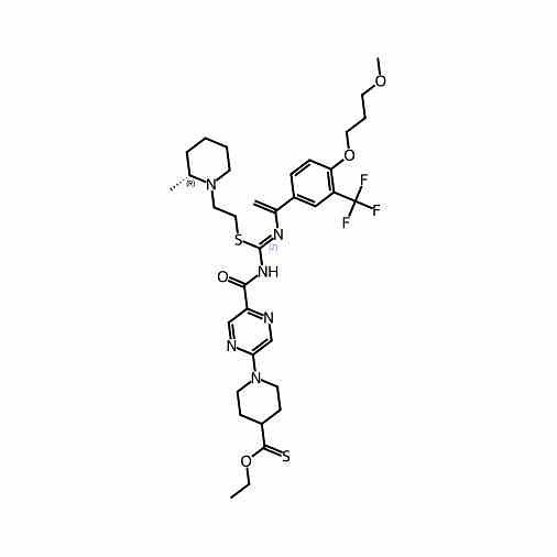 C=C(/N=C(/NC(=O)c1cnc(N2CCC(C(=S)OCC)CC2)cn1)SCCN1CCCC[C@H]1C)c1ccc(OCCCOC)c(C(F)(F)F)c1